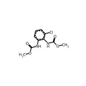 COC(=O)Nc1cccc(Cl)c1NC(=O)OC